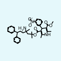 COC(=O)C1=C(C)NC(C)=C(C(=O)OC(C)(C)CC(C)(N)CCC(c2ccccc2)c2ccccc2)C1c1cccc([N+](=O)[O-])c1